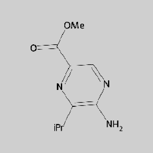 COC(=O)c1cnc(N)c(C(C)C)n1